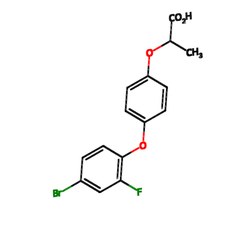 CC(Oc1ccc(Oc2ccc(Br)cc2F)cc1)C(=O)O